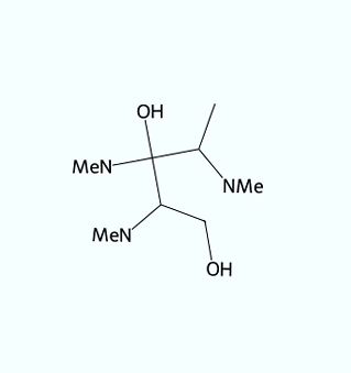 CNC(C)C(O)(NC)C(CO)NC